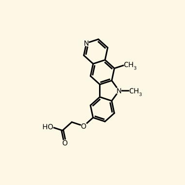 Cc1c2ccncc2cc2c3cc(OCC(=O)O)ccc3n(C)c12